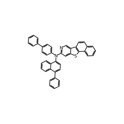 c1ccc(-c2ccc(N(c3cc4sc5c6ccccc6ccc5c4cn3)c3ccc(-c4ccccc4)c4ccccc34)cc2)cc1